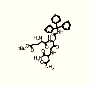 CC(C)(C)OC(=O)CC[C@H](N)C(=O)N[C@@H](CC(=O)NC(c1ccccc1)(c1ccccc1)c1ccccc1)C(=O)CN[C@@H](CC(N)=O)C(N)=O